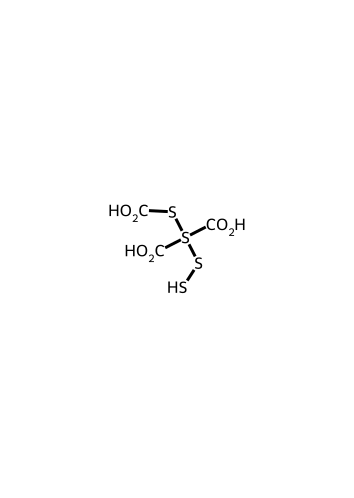 O=C(O)SS(SS)(C(=O)O)C(=O)O